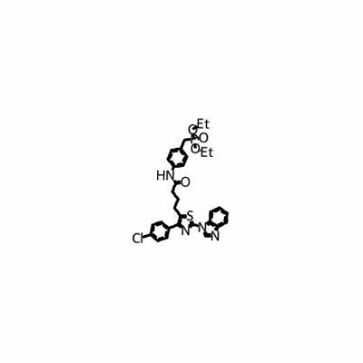 CCOP(=O)(Cc1ccc(NC(=O)CCCc2sc(-n3cnc4ccccc43)nc2-c2ccc(Cl)cc2)cc1)OCC